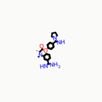 C[C@H](C(=O)Oc1ccc(C(=N)N2CCCC2)cc1)N(C)c1cccc(C(=N)N)c1